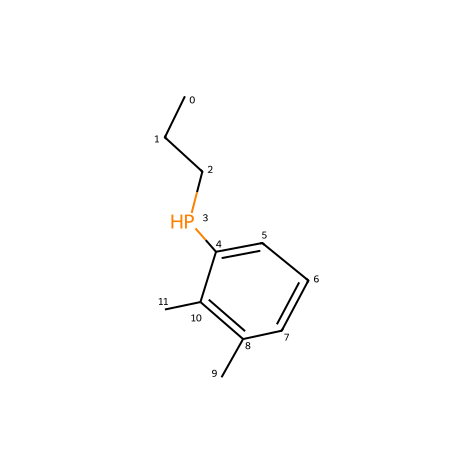 CCCPc1cccc(C)c1C